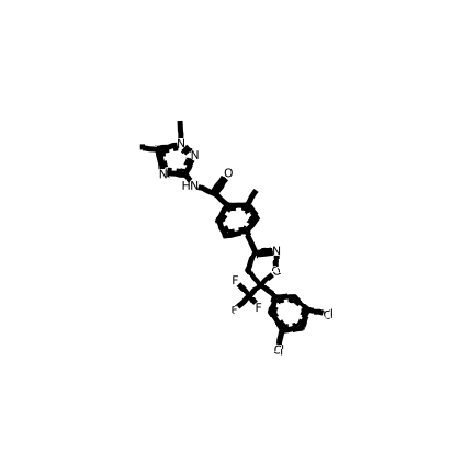 Cc1cc(C2=NOC(c3cc(Cl)cc(Cl)c3)(C(F)(F)F)C2)ccc1C(=O)Nc1nc(C)n(C)n1